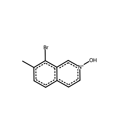 Cc1ccc2cc[n+](O)cc2c1Br